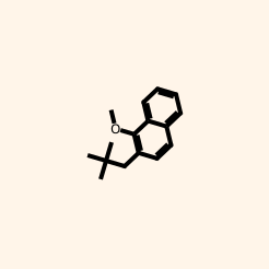 COc1c(CC(C)(C)C)ccc2ccccc12